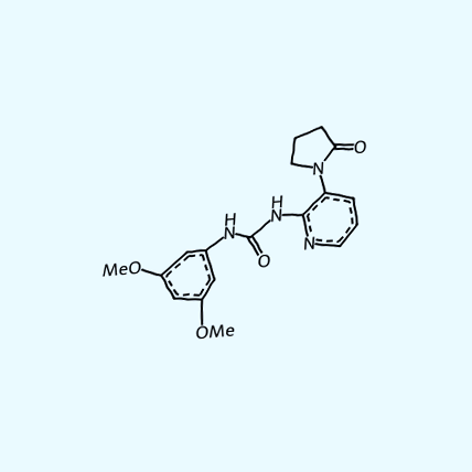 COc1cc(NC(=O)Nc2ncccc2N2CCCC2=O)cc(OC)c1